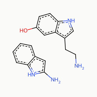 NCCc1c[nH]c2ccc(O)cc12.Nc1cc2ccccc2[nH]1